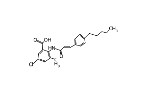 CCCCCc1ccc(C=CC(=O)Nc2c(C)cc(Cl)cc2C(=O)O)cc1